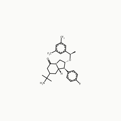 C[C@@H](O[C@H]1CN2C(=O)CC(C(C)(C)N)C[C@H]2[C@@H]1c1ccc(F)cc1)c1cc(C(F)(F)F)cc(C(F)(F)F)c1